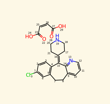 Clc1ccc2c(c1)CCc1cccnc1C2=C1CCNCC1.O=C(O)/C=C\C(=O)O